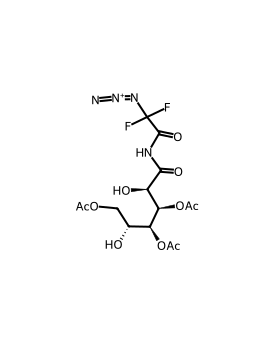 CC(=O)OC[C@@H](O)[C@H](OC(C)=O)[C@H](OC(C)=O)[C@@H](O)C(=O)NC(=O)C(F)(F)N=[N+]=[N-]